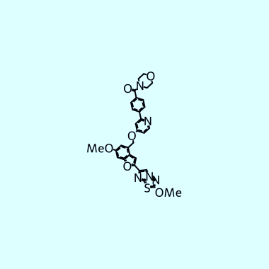 COc1cc(COc2ccnc(-c3ccc(C(=O)N4CCOCC4)cc3)c2)c2cc(-c3cn4nc(OC)sc4n3)oc2c1